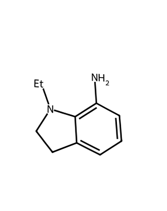 CCN1CCc2cccc(N)c21